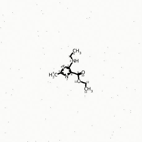 CCNc1sc(C)nc1C(=O)OCC